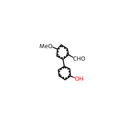 COc1ccc(C=O)c(-c2cccc(O)c2)c1